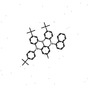 Cc1cc2c3c(c1)N(c1cccc4ccccc14)c1ccc(C(C)(C)C)cc1B3c1cc(C(C)(C)C)ccc1N2c1ccc(C(C)(C)C)cc1